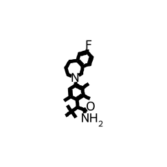 Cc1cc(N2CCCc3cc(F)ccc3C2)c(C)c(C)c1C(C(N)=O)C(C)(C)C